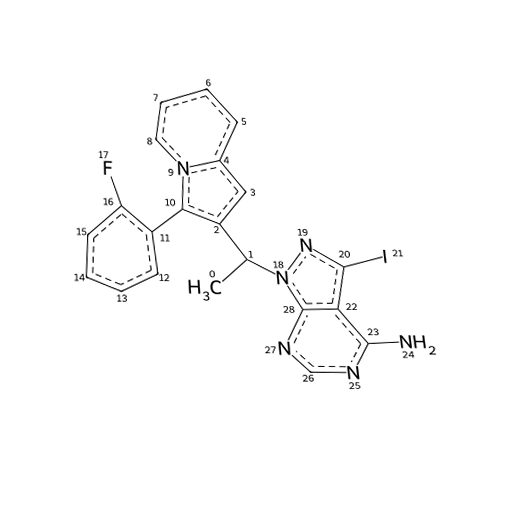 CC(c1cc2ccccn2c1-c1ccccc1F)n1nc(I)c2c(N)ncnc21